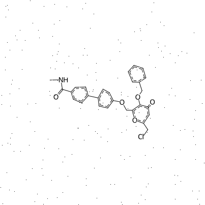 CNC(=O)c1ccc(-c2ccc(OCc3oc(CCl)cc(=O)c3OCc3ccccc3)cc2)cc1